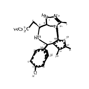 CC1=NNC2[C@H](CC(=O)O)NC(c3ccc(Cl)cc3)c3c(sc(C)c3C)N12